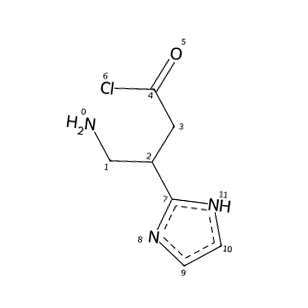 NCC(CC(=O)Cl)c1ncc[nH]1